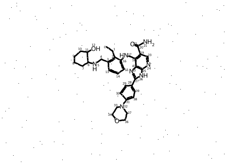 CCc1c(CNC2CCCCC2O)cccc1Nc1c(C(N)=O)cnc2[nH]c(-c3ccc(N4CCOCC4)cc3)nc12